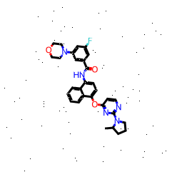 CC1CCCN1c1nccc(Oc2ccc(NC(=O)c3cc(F)cc(N4CCOCC4)c3)c3ccccc23)n1